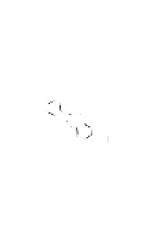 Cc1cc(C)c(NC(=O)c2ccccc2)c(O)c1